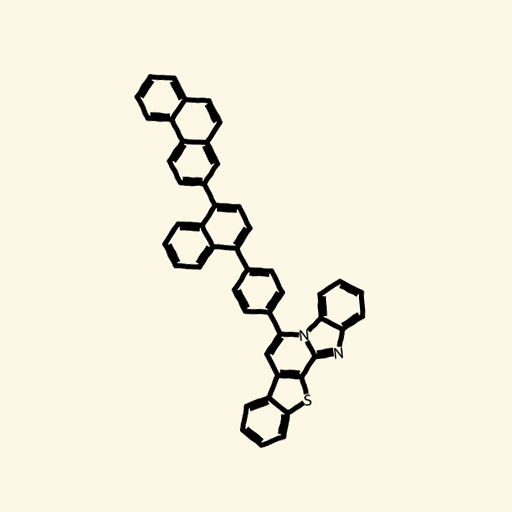 c1ccc2c(c1)ccc1cc(-c3ccc(-c4ccc(-c5cc6c7ccccc7sc6c6nc7ccccc7n56)cc4)c4ccccc34)ccc12